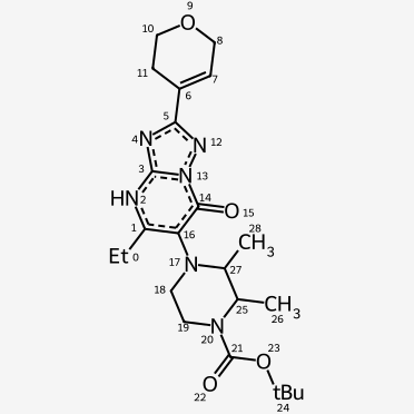 CCc1[nH]c2nc(C3=CCOCC3)nn2c(=O)c1N1CCN(C(=O)OC(C)(C)C)C(C)C1C